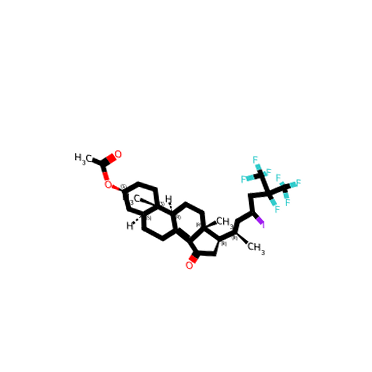 CC(=O)O[C@H]1CC[C@@]2(C)[C@@H](CCC3=C4C(=O)C[C@H]([C@H](C)CC(I)CC(F)(C(F)(F)F)C(F)(F)F)[C@@]4(C)CC[C@@H]32)C1